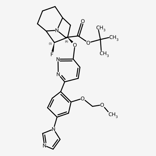 COCOc1cc(-n2ccnc2)ccc1-c1ccc(O[C@@H]2CC3CCCC([C@@H]2F)N3CC(=O)OC(C)(C)C)nn1